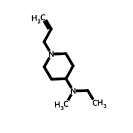 C=CCN1CCC(N(C)CC)CC1